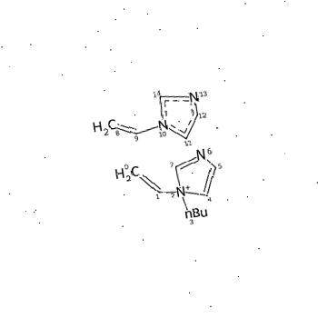 C=C[N+]1(CCCC)C=CN=C1.C=Cn1ccnc1